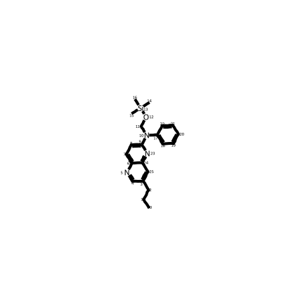 CCCc1cnc2ccc(N(CO[Si](C)(C)C)c3ccccc3)nc2c1